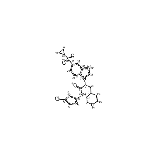 O=C(Nc1ncc(Cl)s1)[C@H](CC1CCOCC1)n1cnc2cc(S(=O)(=O)C3CC3)ccc21